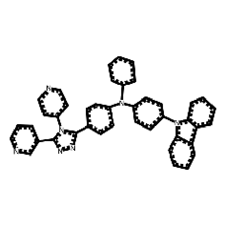 c1ccc(N(c2ccc(-c3nnc(-c4cccnc4)n3-c3ccncc3)cc2)c2ccc(-n3c4ccccc4c4ccccc43)cc2)cc1